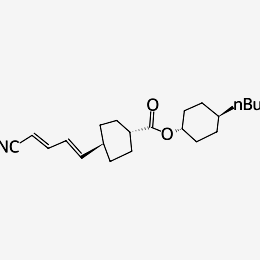 CCCC[C@H]1CC[C@H](OC(=O)[C@H]2CC[C@H](C=CC=CC#N)CC2)CC1